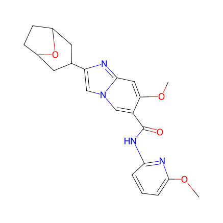 COc1cccc(NC(=O)c2cn3cc(C4CC5CCC(C4)O5)nc3cc2OC)n1